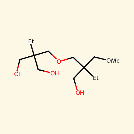 CCC(CO)(CO)COCC(CC)(CO)COC